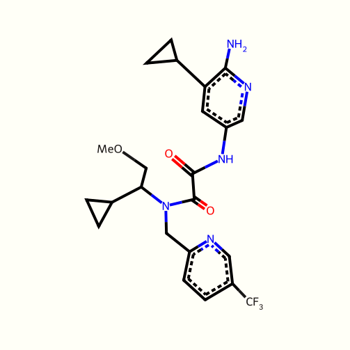 COCC(C1CC1)N(Cc1ccc(C(F)(F)F)cn1)C(=O)C(=O)Nc1cnc(N)c(C2CC2)c1